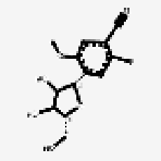 COc1cc(C#N)c(F)cc1[C@@H]1O[C@H](CO)C(O)C1O